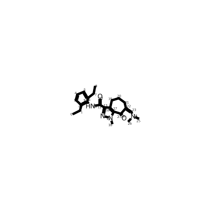 CCc1cccc(CC)c1NC(=O)c1nn(C)c2c1CCCC(=CN(C)C)C2=O